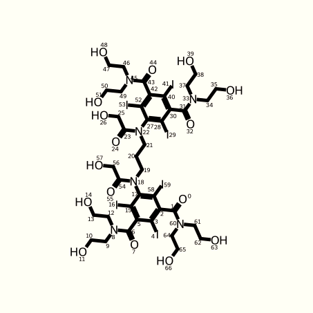 O=C(c1c(I)c(C(=O)N(CCO)CCO)c(I)c(N(CCCN(C(=O)CO)c2c(I)c(C(=O)N(CCO)CCO)c(I)c(C(=O)N(CCO)CCO)c2I)C(=O)CO)c1I)N(CCO)CCO